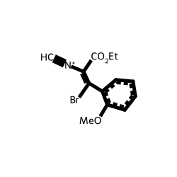 C#[N+]/C(C(=O)OCC)=C(\Br)c1ccccc1OC